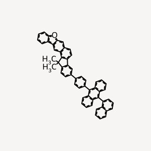 CC1(C)c2ccc(-c3ccc(-c4c5ccccc5c(-c5cccc6ccccc56)c5ccccc45)cc3)cc2-c2ccc3cc4oc5ccccc5c4cc3c21